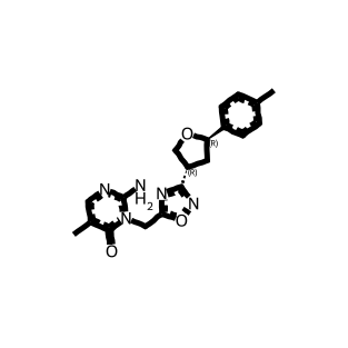 Cc1ccc([C@H]2C[C@H](c3noc(Cn4c(N)ncc(C)c4=O)n3)CO2)cc1